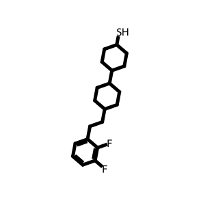 Fc1cccc(CCC2CCC(C3CCC(S)CC3)CC2)c1F